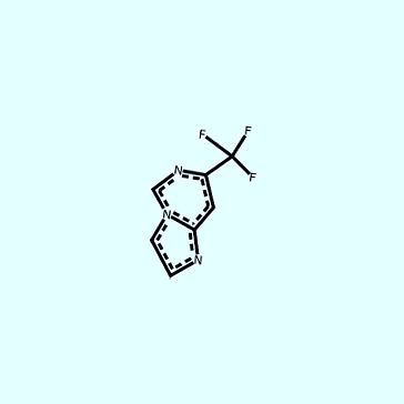 FC(F)(F)c1cc2n[c]cn2cn1